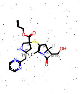 C=CCOC(=O)[C@@]1(SC2=C(C(=O)O)N3C(=O)[C@H]([C@@H](C)O)[C@H]3[C@H]2C)CN[C@H](Cc2ncccn2)C1